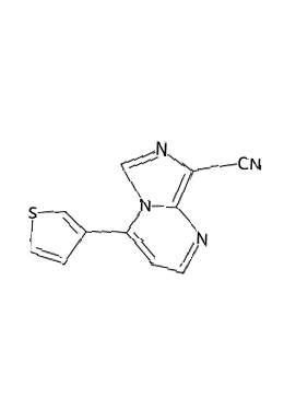 N#Cc1ncn2c(-c3ccsc3)ccnc12